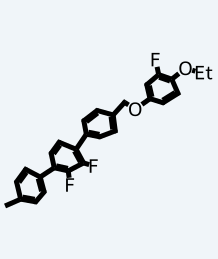 CCOc1ccc(OCc2ccc(-c3ccc(-c4ccc(C)cc4)c(F)c3F)cc2)cc1F